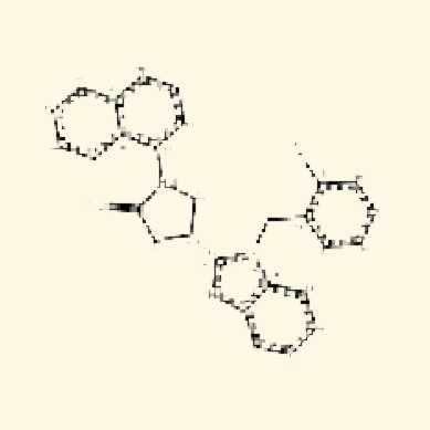 O=C1C[C@@H](c2nc3ccccc3n2Cc2ccccc2F)CN1c1cccc2ccccc12